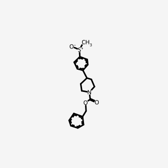 C[S+]([O-])c1ccc(C2CCN(C(=O)OCc3ccccc3)CC2)cc1